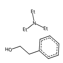 CCN(CC)CC.OCCc1ccccc1